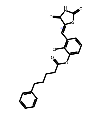 O=C(CCCCc1ccccc1)Oc1cccc(/C=C2\SC(=O)NC2=O)c1Cl